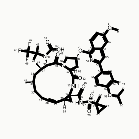 COc1ccc2c(O[C@@H]3C[C@H]4C(=O)N[C@]5(C(=O)NS(=O)(=O)C6(C)CC6)C[C@H]5C=CCC[C@@H](C)C[C@@H](C)[C@H](N(C(=O)O)C(C)(C)C(F)(F)F)C(=O)N4C3)nc(-c3ccc(OC(C)C)c(F)c3)cc2c1